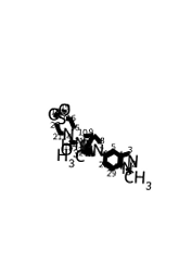 Cn1ncc2cc(N3CC4CN(C(=O)N5CCS(=O)(=O)CC5)CC3C(C)(C)C4)ccc21